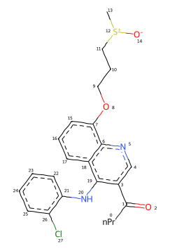 CCCC(=O)c1cnc2c(OCCC[S+](C)[O-])cccc2c1Nc1ccccc1Cl